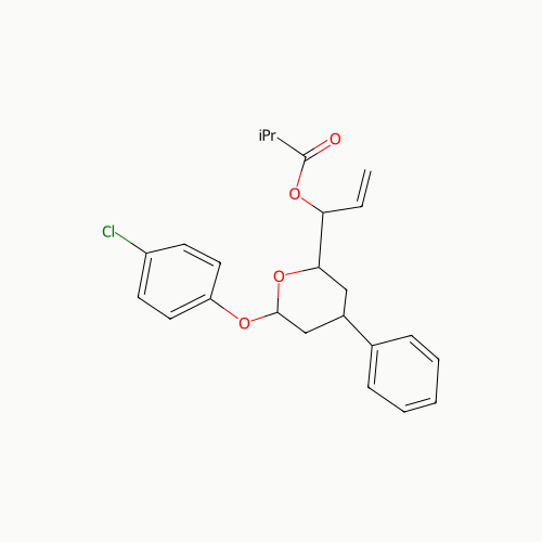 C=CC(OC(=O)C(C)C)C1CC(c2ccccc2)CC(Oc2ccc(Cl)cc2)O1